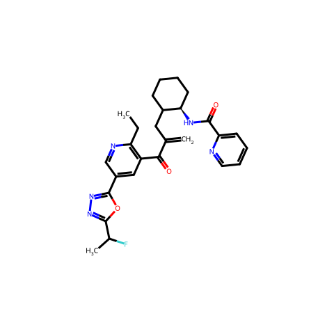 C=C(CC1CCCC[C@H]1NC(=O)c1ccccn1)C(=O)c1cc(-c2nnc(C(C)F)o2)cnc1CC